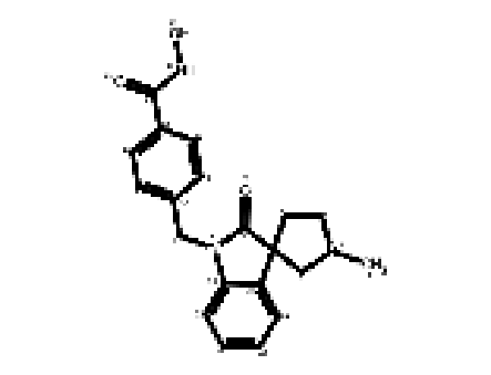 CN1CCC2(C1)C(=O)N(Cc1ccc(C(=O)NO)cc1)c1ccccc12